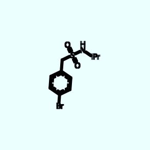 CC(C)NS(=O)(=O)Cc1ccc(Br)cc1